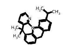 CC(C)c1ccc2c(c1)N1c3ncccc3C(C)(C)c3cccc(c31)C2